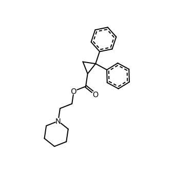 O=C(OCCN1CCCCC1)C1CC1(c1ccccc1)c1ccccc1